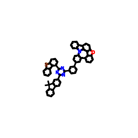 CC1(C)c2ccccc2-c2ccc(-c3nc(-c4cccc(-c5ccc6c(c5)c5cccc7oc8ccc9c%10ccccc%10n6c9c8c75)c4)nc(-c4cccc5sc6ccccc6c45)n3)cc21